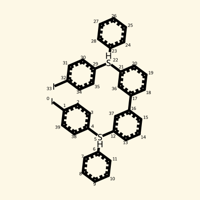 Ic1ccc([SH](c2ccccc2)c2cccc(-c3cccc([SH](c4ccccc4)c4ccc(I)cc4)c3)c2)cc1